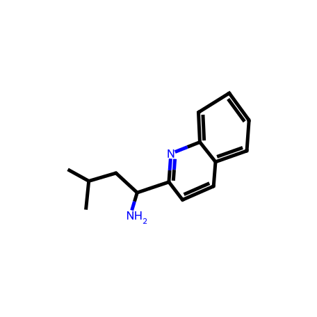 CC(C)CC(N)c1ccc2ccccc2n1